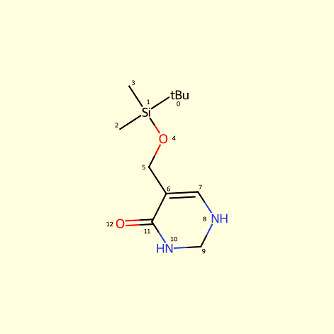 CC(C)(C)[Si](C)(C)OCC1=CNCNC1=O